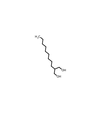 CCCCCCCCCC(CO)CO